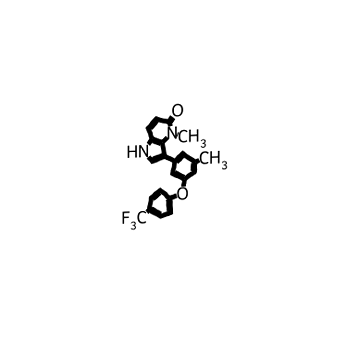 Cc1cc(Oc2ccc(C(F)(F)F)cc2)cc(-c2c[nH]c3ccc(=O)n(C)c23)c1